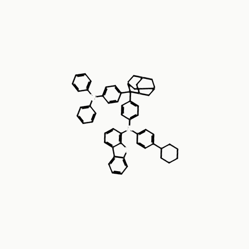 c1ccc(N(c2ccccc2)c2ccc(C3(c4ccc(N(c5ccc(C6CCCCC6)cc5)c5cccc6c5sc5ccccc56)cc4)C4CC5CC(C4)CC3C5)cc2)cc1